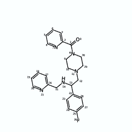 O=C(c1ccccn1)N1CCN(CC(NCc2ccccn2)c2ccc(F)cc2)CC1